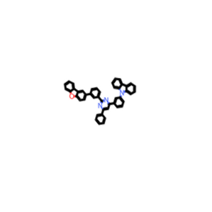 c1ccc(-c2cc(-c3cccc(-n4c5ccccc5c5ccccc54)c3)nc(-c3cccc(-c4ccc5oc6ccccc6c5c4)c3)n2)cc1